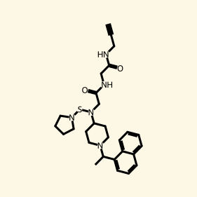 C#CCNC(=O)CNC(=O)CN(SN1CCCC1)C1CCN(C(C)c2cccc3ccccc23)CC1